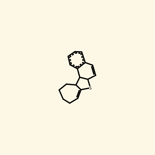 C1=CC2SC3=CCCCCC3C2c2ccccc21